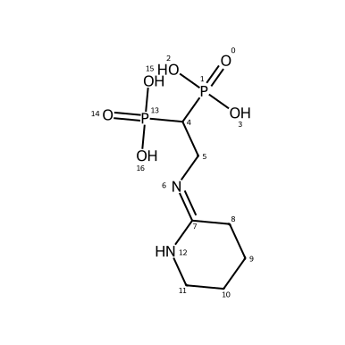 O=P(O)(O)C(CN=C1CCCCN1)P(=O)(O)O